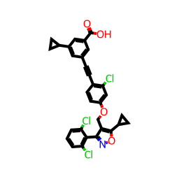 O=C(O)c1cc(C#Cc2ccc(OCc3c(-c4c(Cl)cccc4Cl)noc3C3CC3)cc2Cl)cc(C2CC2)c1